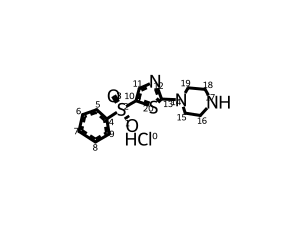 Cl.O=S(=O)(c1ccccc1)c1cnc(N2CCNCC2)s1